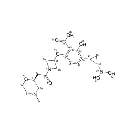 CN1CCO[C@@H](CC(=O)N2CC(Oc3ccc([C@@H]4C[C@@H]4B(O)O)c(O)c3C(=O)O)C2)C1